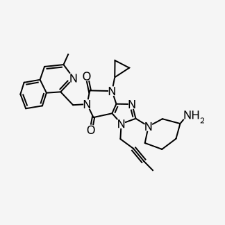 CC#CCn1c(N2CCCC(N)C2)nc2c1c(=O)n(Cc1nc(C)cc3ccccc13)c(=O)n2C1CC1